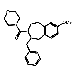 COc1ccc2c(c1)CCN(C(=O)N1CCOCC1)C(Cc1ccccc1)C2